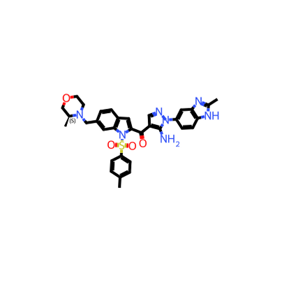 Cc1ccc(S(=O)(=O)n2c(C(=O)c3cnn(-c4ccc5[nH]c(C)nc5c4)c3N)cc3ccc(CN4CCOC[C@@H]4C)cc32)cc1